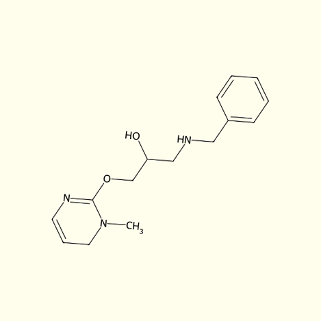 CN1CC=CN=C1OCC(O)CNCc1ccccc1